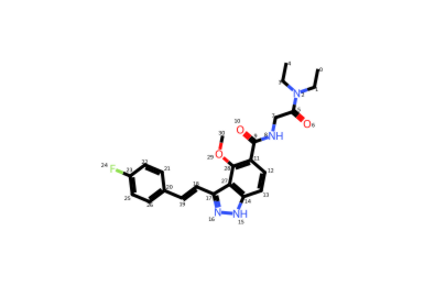 CCN(CC)C(=O)CNC(=O)c1ccc2[nH]nc(C=Cc3ccc(F)cc3)c2c1OC